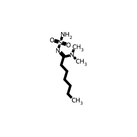 CCCCCC/C(=N/S(N)(=O)=O)N(C)C